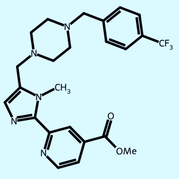 COC(=O)c1ccnc(-c2ncc(CN3CCN(Cc4ccc(C(F)(F)F)cc4)CC3)n2C)c1